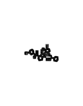 O=C(Nc1cccc2nc(-c3c(NCC(O)c4ccccc4)cc[nH]c3=O)[nH]c12)c1cccc(Cl)c1